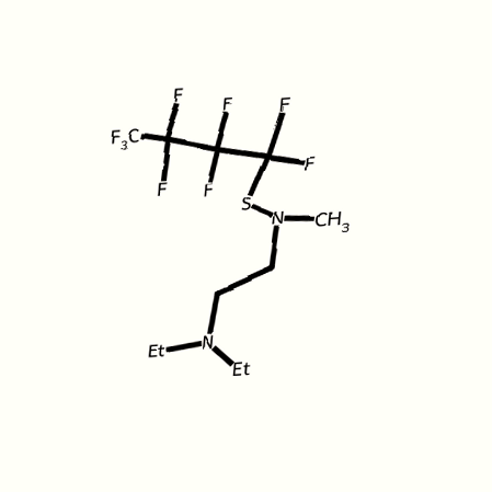 CCN(CC)CCN(C)SC(F)(F)C(F)(F)C(F)(F)C(F)(F)F